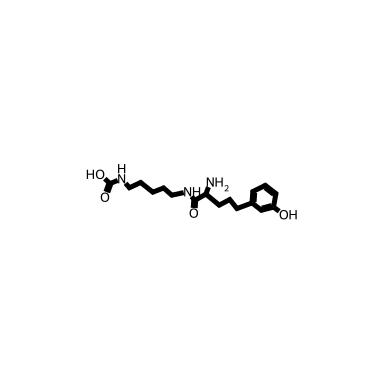 NC(CCCc1cccc(O)c1)C(=O)NCCCCCNC(=O)O